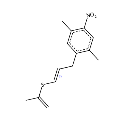 C=C(C)S/C=C/Cc1cc(C)c([N+](=O)[O-])cc1C